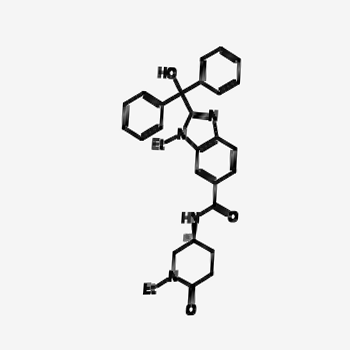 CCN1C[C@@H](NC(=O)c2ccc3nc(C(O)(c4ccccc4)c4ccccc4)n(CC)c3c2)CCC1=O